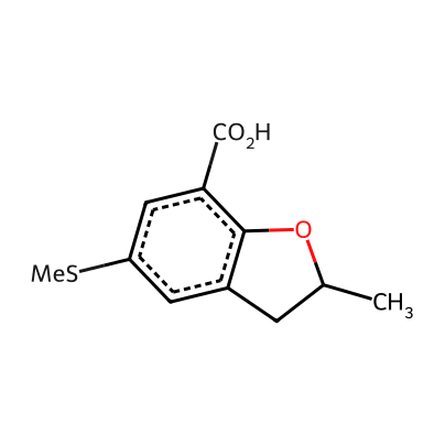 CSc1cc2c(c(C(=O)O)c1)OC(C)C2